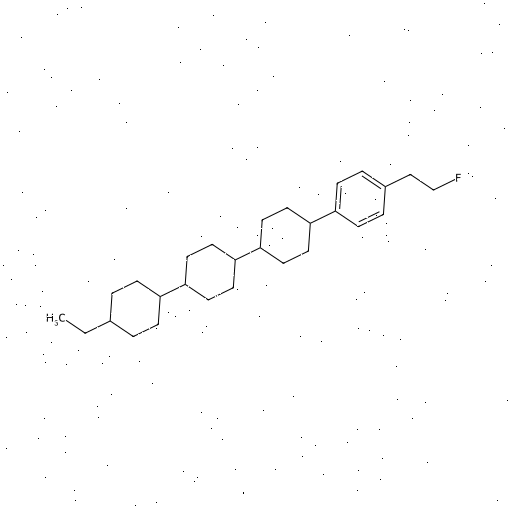 CCC1CCC(C2CCC(C3CCC(c4ccc(CCF)cc4)CC3)CC2)CC1